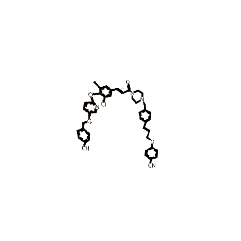 Cc1cc(/C=C/C(=O)N2CCN(Cc3ccc(/C=C/COc4ccc(C#N)cc4)cc3)CC2)cc(Cl)c1Oc1ccc(OCc2ccc(C#N)cc2)cn1